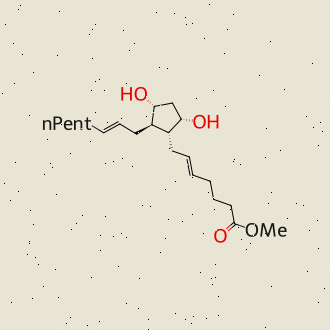 CCCCCC=CC[C@@H]1[C@@H](CC=CCCCC(=O)OC)[C@@H](O)C[C@H]1O